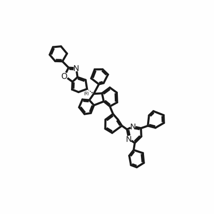 C1=CCCC(c2nc3c(o2)=CC[C@@H](C2(c4ccccc4)c4ccccc4-c4c(-c5cccc(-c6nc(-c7ccccc7)cc(-c7ccccc7)n6)c5)cccc42)C=3)=C1